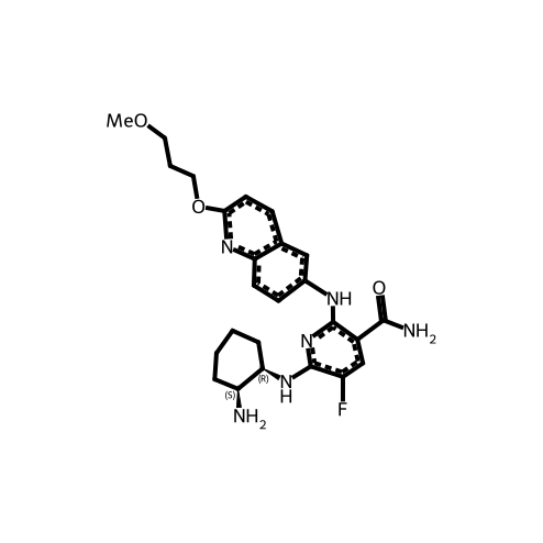 COCCCOc1ccc2cc(Nc3nc(N[C@@H]4CCCC[C@@H]4N)c(F)cc3C(N)=O)ccc2n1